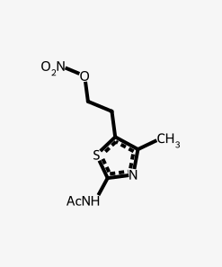 CC(=O)Nc1nc(C)c(CCO[N+](=O)[O-])s1